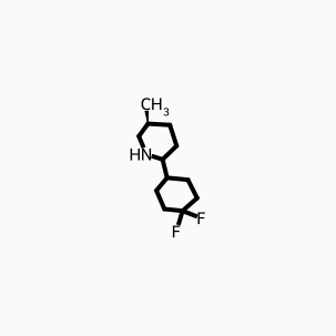 C[C@H]1CCC(C2CCC(F)(F)CC2)NC1